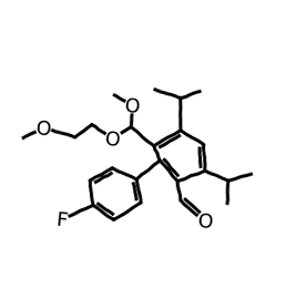 COCCOC(OC)c1c(C(C)C)cc(C(C)C)c(C=O)c1-c1ccc(F)cc1